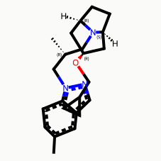 Cc1ccc2c(cnn2C[C@H](C)CN2[C@@H]3CC[C@H]2C[C@@H](OCC2CC2)C3)c1